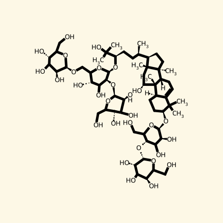 C[C@H](CC[C@@H](O[C@@H]1OC(CO[C@@H]2OC(CO)[C@@H](O)C(O)[C@@H]2O)[C@@H](O)C(O)[C@@H]1O[C@@H]1OC(CO)[C@@H](O)C(O)[C@@H]1O)C(C)(C)O)[C@H]1CC[C@@]2(C)[C@@H]3CC=C4[C@@H](CC[C@H](O[C@@H]5OC(CO)[C@@H](O[C@@H]6OC(CO)[C@@H](O)C(O)[C@@H]6O)C(O)[C@@H]5O)C4(C)C)[C@]3(C)[C@H](O)C[C@]12C